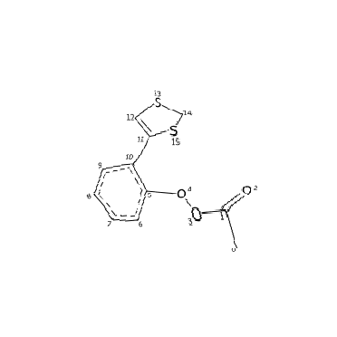 CC(=O)OOc1ccccc1C1=CSCS1